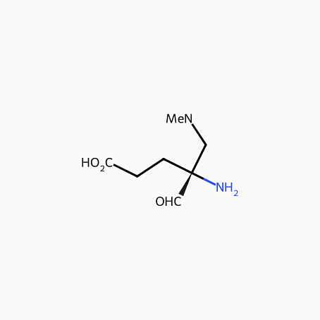 CNC[C@@](N)(C=O)CCC(=O)O